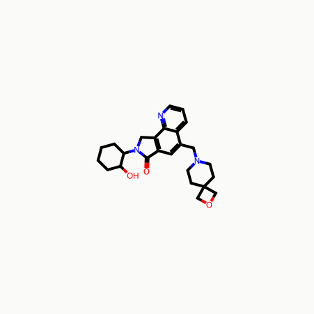 O=C1c2cc(CN3CCC4(CC3)COC4)c3cccnc3c2CN1C1CCCCC1O